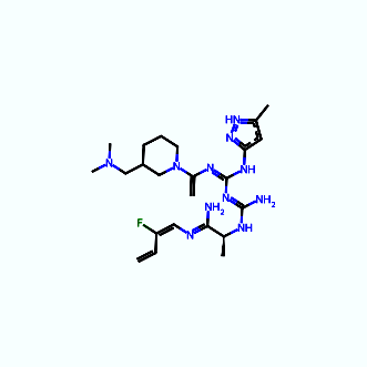 C=C/C(F)=C\N=C(/N)[C@H](C)N/C(N)=N/C(=N\C(=C)N1CCCC(CN(C)C)C1)Nc1cc(C)[nH]n1